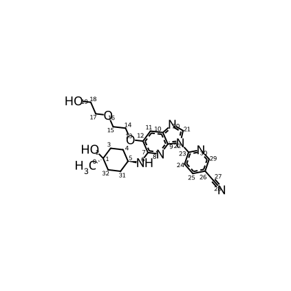 C[C@]1(O)CC[C@@H](Nc2nc3c(cc2OCCOCCO)ncn3-c2ccc(C#N)cn2)CC1